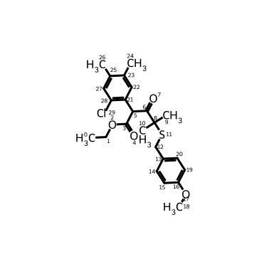 CCOC(=O)C(C(=O)C(C)(C)SCc1ccc(OC)cc1)c1cc(C)c(C)cc1Cl